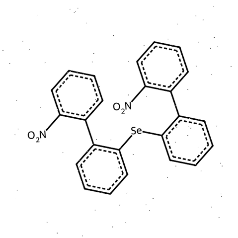 O=[N+]([O-])c1ccccc1-c1ccccc1[Se]c1ccccc1-c1ccccc1[N+](=O)[O-]